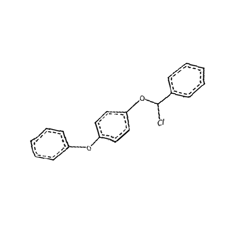 ClC(Oc1ccc(Oc2ccccc2)cc1)c1ccccc1